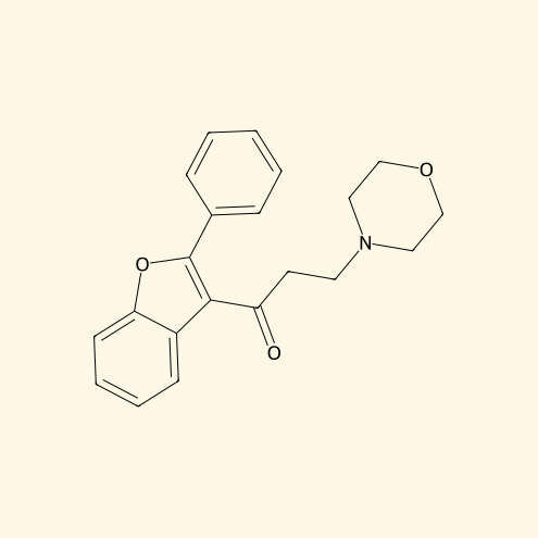 O=C(CCN1CCOCC1)c1c(-c2ccccc2)oc2ccccc12